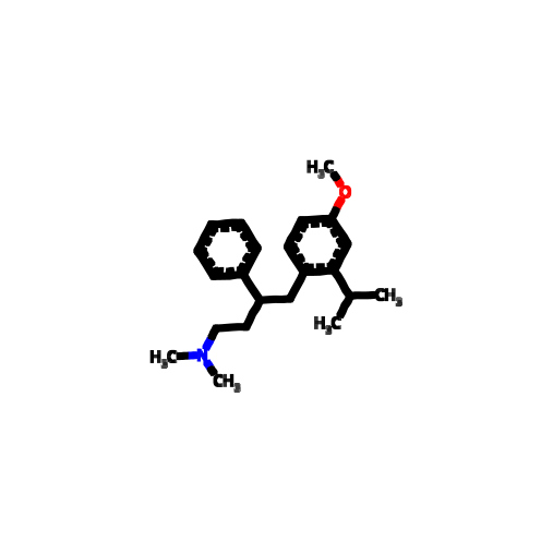 COc1ccc(CC(CCN(C)C)c2ccccc2)c(C(C)C)c1